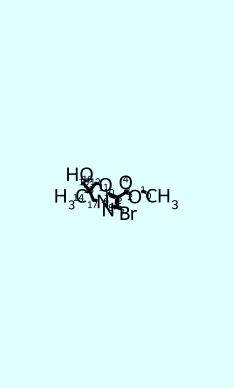 CCOC(=O)c1c(Br)nn2c1OCC(C)(CO)C2